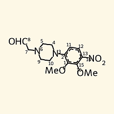 COc1c(N2CCN(CC=O)CC2)ccc([N+](=O)[O-])c1OC